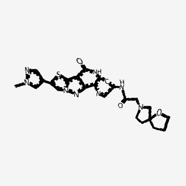 Cn1cc(-c2cn3nc4c5ncc(NC(=O)CN6CCC7(CCCO7)C6)cc5[nH]c(=O)c4c3s2)cn1